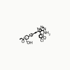 C=CC(=O)N1CCC(N2CC(C#Cc3c(-c4ccc(Cl)c(OC)n4)c4c(N)ncnc4n3C)C2)C[C@H]1CO